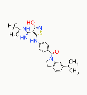 CC(C)NC(=N)c1c(O)nsc1Nc1ccc(C(=O)N2CCc3ccc(C(C)C)cc32)cc1